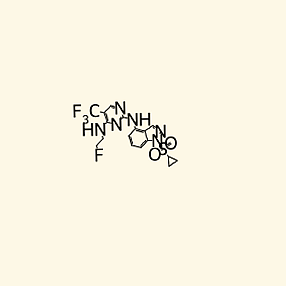 O=S(=O)(C1CC1)n1ncc2c(Nc3ncc(C(F)(F)F)c(NCCF)n3)cccc21